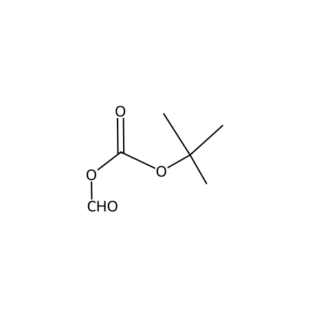 CC(C)(C)OC(=O)OC=O